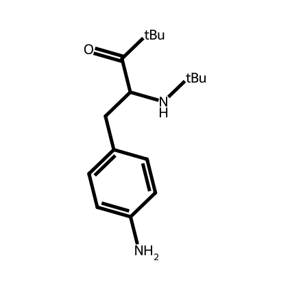 CC(C)(C)NC(Cc1ccc(N)cc1)C(=O)C(C)(C)C